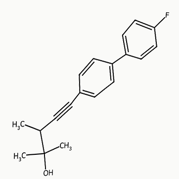 CC(C#Cc1ccc(-c2ccc(F)cc2)cc1)C(C)(C)O